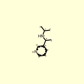 CC(C)NC(C)c1cccnc1